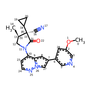 COc1cncc(-c2cc3c(N4C[C@@H](C)[C@@](C#N)(C5CC5)C4=O)ccnn3c2)c1